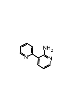 Nc1ncccc1-c1ccccn1